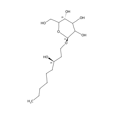 CCCCCC[C@@H](O)CCO[C@H]1OC(CO)[C@H](O)C(O)C1O